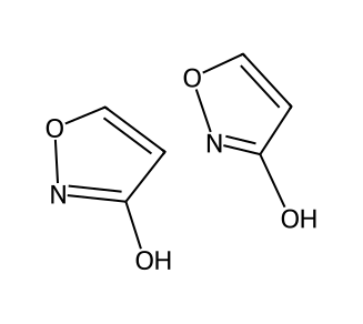 Oc1ccon1.Oc1ccon1